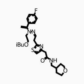 C=C(c1ccc(F)cc1)N(CCOCC(C)C)/N=C\Cc1nc(CC(=O)NCC2CCOCC2)cs1